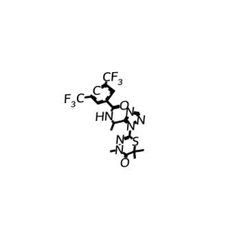 CC(NC(=O)c1cc(C(F)(F)F)cc(C(F)(F)F)c1)c1ncnn1C1=NN(C)C(=O)C(C)(C)S1